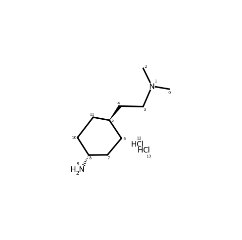 CN(C)CC[C@H]1CC[C@H](N)CC1.Cl.Cl